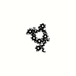 CCCN1/C(=C/C=C/C2=[N+](C)c3ccc(C)cc3C2(C)Cc2ccc(Oc3ccc(CC4(C)C(/C=C/C=C5\Sc6ccccc6N5CCC)=[N+](C)c5ccc(C)cc54)cc3)cc2)Sc2ccccc21